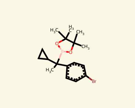 CC(B1OC(C)(C)C(C)(C)O1)(c1ccc(Br)cc1)C1CC1